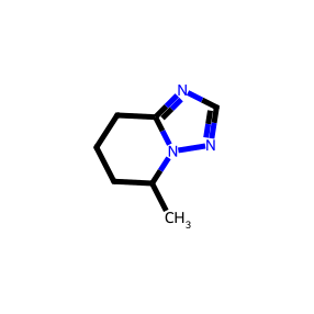 CC1CCCc2ncnn21